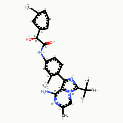 [2H]C([2H])([2H])c1nc(-c2ccc(NC(=O)[C@@H](O)c3cccc(C(F)(F)F)c3)cc2C)c2c(N)nc(C)cn12